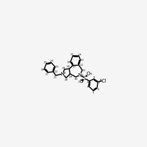 O=S(=O)(c1cccc(Cl)c1)N1Cc2ccccc2C2CN(Cc3ccccc3)CC2C1